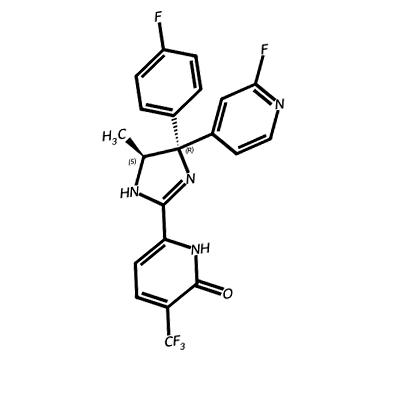 C[C@@H]1NC(c2ccc(C(F)(F)F)c(=O)[nH]2)=N[C@]1(c1ccc(F)cc1)c1ccnc(F)c1